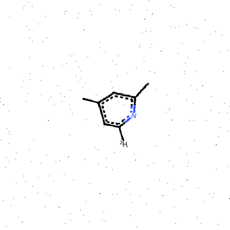 [2H]c1cc(C)cc(C)n1